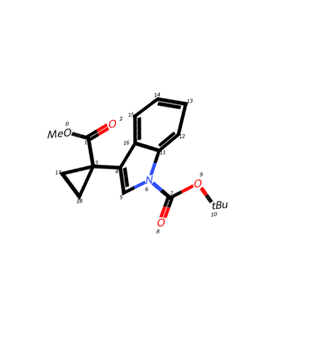 COC(=O)C1(c2cn(C(=O)OC(C)(C)C)c3ccccc23)CC1